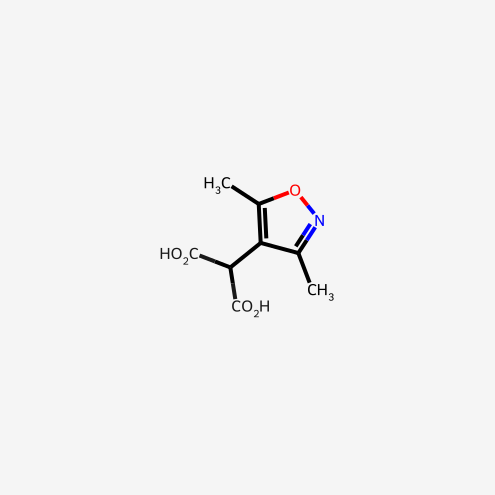 Cc1noc(C)c1C(C(=O)O)C(=O)O